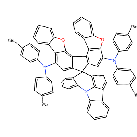 CC(C)(C)c1ccc(N(c2ccc(C(C)(C)C)cc2)c2cc3c(c4c2oc2ccccc24)-c2c(cc(N(c4ccc(C(C)(C)C)cc4)c4ccc(C(C)(C)C)cc4)c4c2oc2ccccc24)C32c3ccccc3-n3c4ccccc4c4cccc2c43)cc1